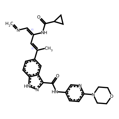 C=N/C=C(\C=C(/C)c1ccc2[nH]nc(C(=O)Nc3ccc(N4CCOCC4)nc3)c2c1)NC(=O)C1CC1